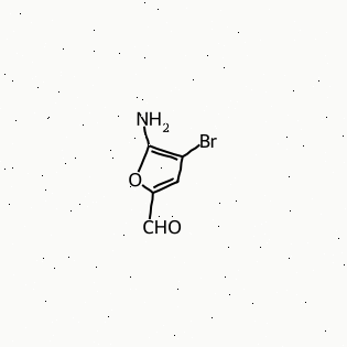 Nc1oc(C=O)cc1Br